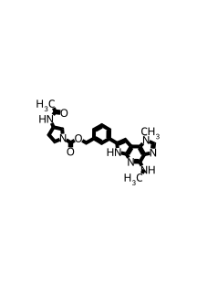 CNc1nc2[nH]c(-c3cccc(COC(=O)N4CCC(NC(C)=O)C4)c3)cc2c2c1ncn2C